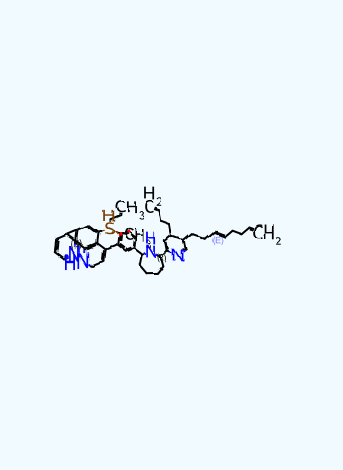 C=CCC/C=C/CCC1C=NC([C@H]2CCCCC(c3cccc(C4=CCNC5=C4C([SH](CC)CCC)=CC4C6C=CC=N[C@@]564)c3)N2)=CC1CCC=C